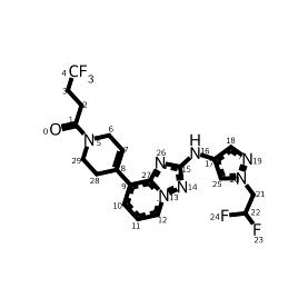 O=C(CCC(F)(F)F)N1CC=C(c2cccn3nc(Nc4cnn(CC(F)F)c4)nc23)CC1